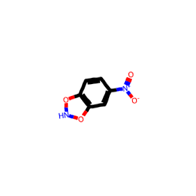 O=[N+]([O-])c1ccc2c(c1)ONO2